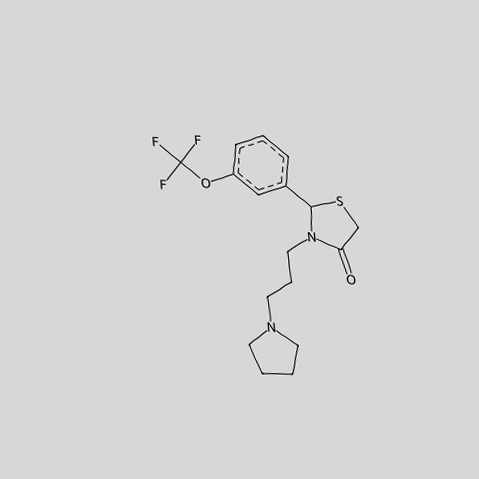 O=C1CSC(c2cccc(OC(F)(F)F)c2)N1CCCN1CCCC1